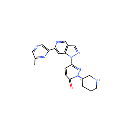 Cc1cncc(-c2cc3c(cn2)cnn3-c2ccc(=O)n([C@@H]3CCCNC3)n2)n1